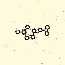 N=C(/N=C(\N=C\c1ccccc1)c1cccc2c1oc1c(-c3cccc4c3sc3cc(-n5c6ccccc6c6ccccc65)ccc34)cccc12)c1ccccc1